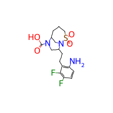 Nc1ccc(F)c(F)c1CCC1CN(C(=O)O)C2CCCS(=O)(=O)N1C2